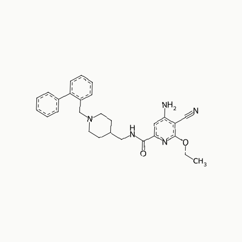 CCOc1nc(C(=O)NCC2CCN(Cc3ccccc3-c3ccccc3)CC2)cc(N)c1C#N